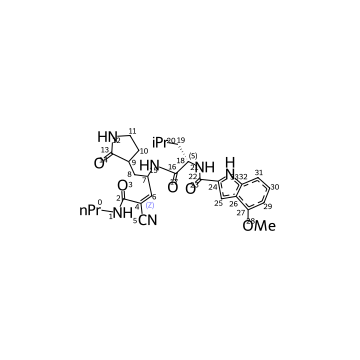 CCCNC(=O)/C(C#N)=C\C(CC1CCNC1=O)NC(=O)[C@H](CC(C)C)NC(=O)c1cc2c(OC)cccc2[nH]1